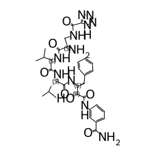 CC(C)C[C@H](NC(=O)[C@@H](NC(=O)[C@@H](N)CNC(=O)c1nnn[nH]1)C(C)C)C(=O)N[C@@H](Cc1ccccc1)[C@@H](O)C(=O)Nc1cccc(C(N)=O)c1